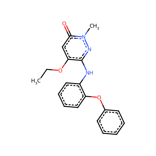 CCOc1cc(=O)n(C)nc1Nc1ccccc1Oc1ccccc1